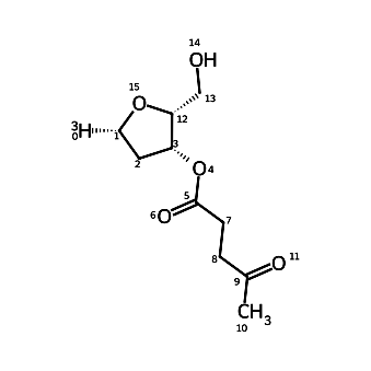 [3H][C@H]1C[C@@H](OC(=O)CCC(C)=O)[C@@H](CO)O1